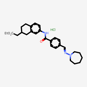 CCOC(=O)CC1CCc2ccc(NC(=O)c3ccc(C=NN4CCCCCC4)cc3)cc2C1.Cl